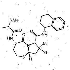 CCC1(CC)C[C@@H]2SCC[C@H](NC(=O)[C@H](C)NC)C(=O)N2[C@@H]1C(=O)N[C@@H]1CCCc2ccccc21